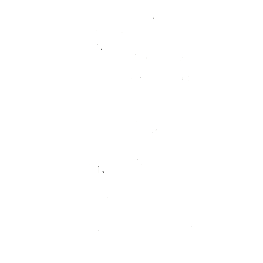 c1ccc(-c2cc(-c3ccccc3)nc(-c3ccc4c(c3)C3(c5ccccc5Oc5ccccc53)c3cccnc3-4)n2)cc1